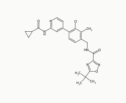 Cc1c(CNC(=O)c2noc(C(C)(C)C)n2)ccc(-c2ccnc(NC(=O)C3CC3)c2)c1Cl